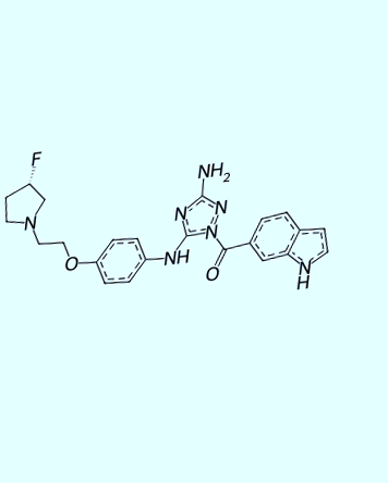 Nc1nc(Nc2ccc(OCCN3CC[C@H](F)C3)cc2)n(C(=O)c2ccc3cc[nH]c3c2)n1